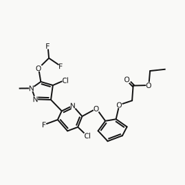 CCOC(=O)COc1ccccc1Oc1nc(-c2nn(C)c(OC(F)F)c2Cl)c(F)cc1Cl